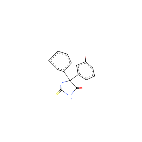 CN1C(=O)C(c2c[c]ccc2)(c2cccc(Br)c2)NC1=S